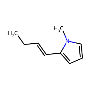 [CH2]C/C=C/c1cccn1C